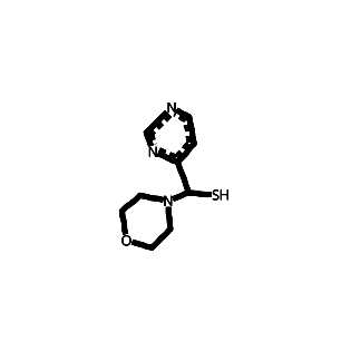 SC(c1ccncn1)N1CCOCC1